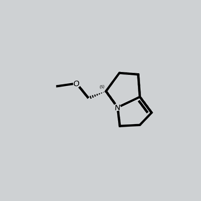 COC[C@@H]1CCC2=CCCN21